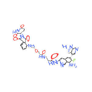 Cc1c(N)cncc1-c1cc2cc(NC(=O)CCNC(=O)CCOCCNc3cccc4c3C(=O)N(C3CCC(=O)NC3=O)C4=O)ncc2c(N)c1F